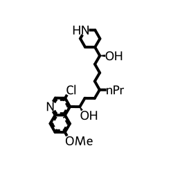 CCCC(CCC[C@H](O)C1CCNCC1)CC[C@@H](O)c1c(Cl)cnc2ccc(OC)cc12